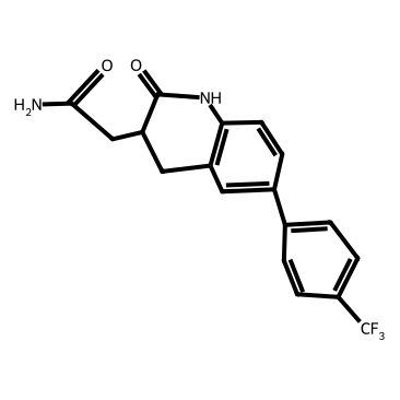 NC(=O)CC1Cc2cc(-c3ccc(C(F)(F)F)cc3)ccc2NC1=O